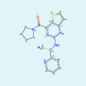 C[C@H](Nc1nc(C(=O)N2CCCC2)c2sccc2n1)c1ccccn1